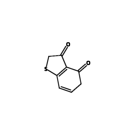 O=C1CC=CC2=C1C(=O)CS2